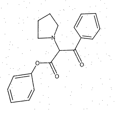 O=C(Oc1ccccc1)C(C(=O)c1ccccc1)N1CCCC1